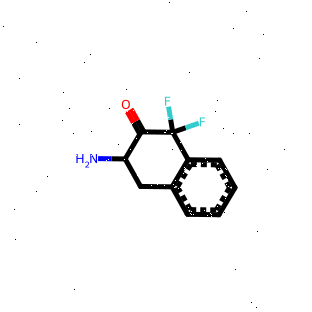 NC1Cc2ccccc2C(F)(F)C1=O